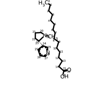 CCCCCCCCCCCCCCCC(=O)O.CN1CCC[C@H]1c1cccnc1